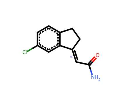 NC(=O)/C=C1\CCc2ccc(Cl)cc21